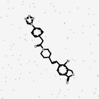 O=C1OCc2c1ccc(/C=C/C1CCN(C(=O)Cc3ccc(-n4cnnn4)cc3)CC1)c2Br